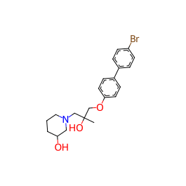 CC(O)(COc1ccc(-c2ccc(Br)cc2)cc1)CN1CCCC(O)C1